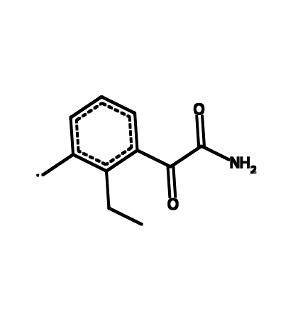 [CH2]c1cccc(C(=O)C(N)=O)c1CC